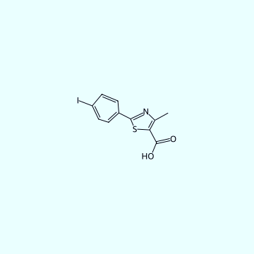 Cc1nc(-c2ccc(I)cc2)sc1C(=O)O